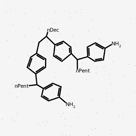 CCCCCCCCCCC(Cc1ccc(C(CCCCC)c2ccc(N)cc2)cc1)c1ccc(C(CCCCC)c2ccc(N)cc2)cc1